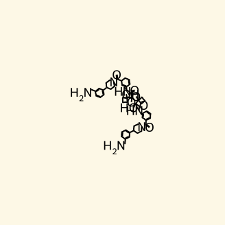 NCc1cccc(C2CCN(C(=O)c3cccc(NC(=O)C4(O)OC(C(=O)NC5=CC(C(=O)N6CCC(c7cccc(CN)c7)CC6)CC=C5)(C5(O)CCC5)OC45CCC5)c3)CC2)c1